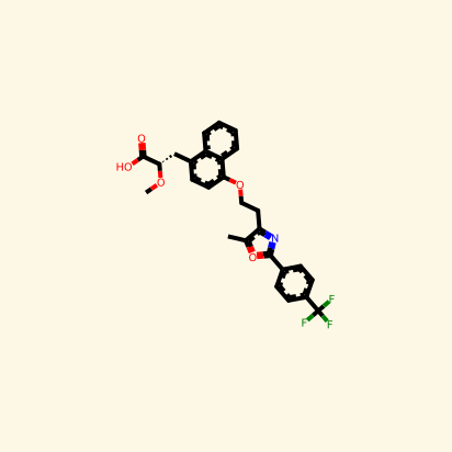 CO[C@@H](Cc1ccc(OCCc2nc(-c3ccc(C(F)(F)F)cc3)oc2C)c2ccccc12)C(=O)O